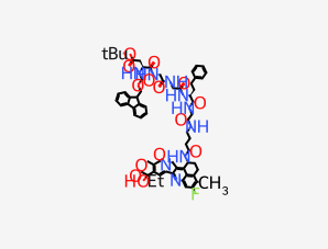 CC[C@@]1(O)C(=O)OCc2c1cc1n(c2=O)Cc2c-1nc1cc(F)c(C)c3c1c2[C@@H](NC(=O)CCCNC(=O)CNC(=O)[C@H](CCc1ccccc1)NC(=O)CNC(=O)CNC(=O)[C@H](CC(=O)OC(C)(C)C)NC(=O)OCC1c2ccccc2-c2ccccc21)CC3